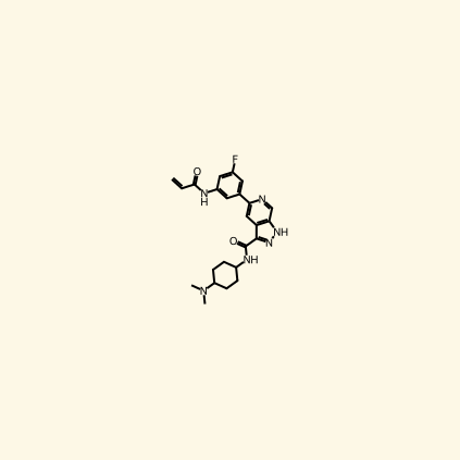 C=CC(=O)Nc1cc(F)cc(-c2cc3c(C(=O)NC4CCC(N(C)C)CC4)n[nH]c3cn2)c1